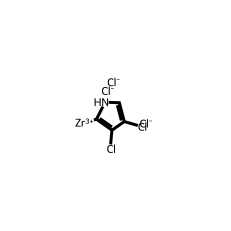 Clc1c[nH][c]([Zr+3])c1Cl.[Cl-].[Cl-].[Cl-]